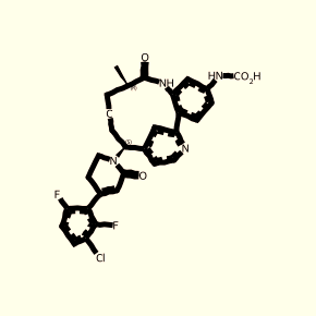 C[C@@H]1CCC[C@H](N2CCC(c3c(F)ccc(Cl)c3F)=CC2=O)c2ccnc(c2)-c2ccc(NC(=O)O)cc2NC1=O